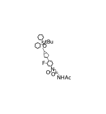 CC(=O)NC[C@H]1CN(c2ccc(C3=CC4C(CO[Si](c5ccccc5)(c5ccccc5)C(C)(C)C)C4C3)c(F)c2)C(=O)O1